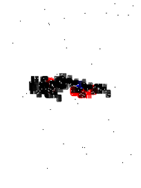 COCCCN(CCCc1ccc(B2OC(C)(C)C(C)(C)O2)cc1)C(=O)O